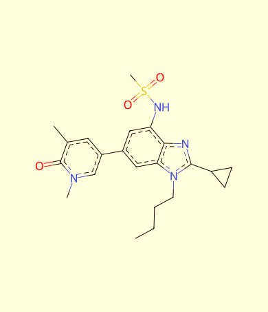 CCCCn1c(C2CC2)nc2c(NS(C)(=O)=O)cc(-c3cc(C)c(=O)n(C)c3)cc21